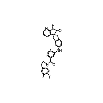 Cc1cc2c(cc1F)N(C(=O)c1cc(Nc3ccc4c(c3)CC3(C4)C(=O)Nc4ncccc43)ncn1)CC2